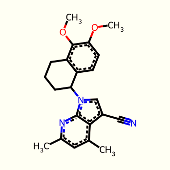 COc1ccc2c(c1OC)CCCC2n1cc(C#N)c2c(C)cc(C)nc21